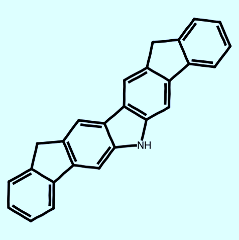 c1ccc2c(c1)Cc1cc3c(cc1-2)[nH]c1cc2c(cc13)Cc1ccccc1-2